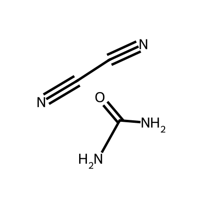 N#CC#N.NC(N)=O